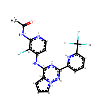 CC(=O)Nc1nccc(Nc2nc(-c3cccc(C(F)(F)F)n3)nn3cccc23)c1F